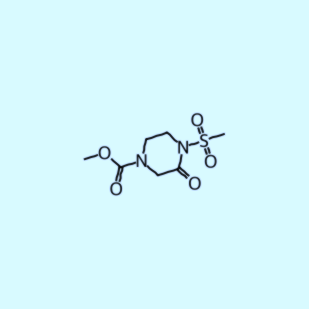 COC(=O)N1CCN(S(C)(=O)=O)C(=O)C1